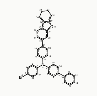 Brc1ccc(N(c2ccc(-c3ccccc3)cc2)c2ccc(-c3ccc4c5c(oc4c3)=CCCC=5)cc2)cc1